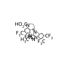 CCc1cc2c(cc1C(F)(F)F)N(C(=O)O)CCC[C@@H]2N(Cc1cc(C(F)(F)F)cc(C(F)(F)F)c1)c1nnn(C)n1